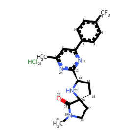 Cc1cc(-c2ccc(C(F)(F)F)cc2)nc([C@H]2CC[C@@]3(CCN(C)C3=O)N2)n1.Cl